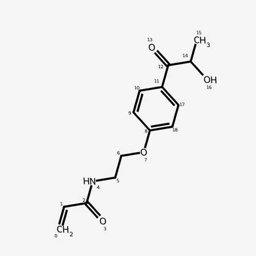 C=CC(=O)NCCOc1ccc(C(=O)C(C)O)cc1